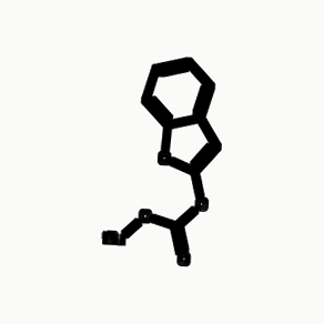 CC(C)(C)OC(=O)Oc1cc2ccccc2o1